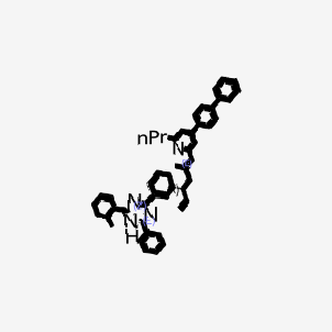 C=CC(C/C(C)=C/c1cc(-c2ccc(-c3ccccc3)cc2)cc(CCC)n1)[C@@H]1C=C(C(=N/C(=N)C2=C(C)CCC=C2)/N=C/c2ccccc2)C=CC1